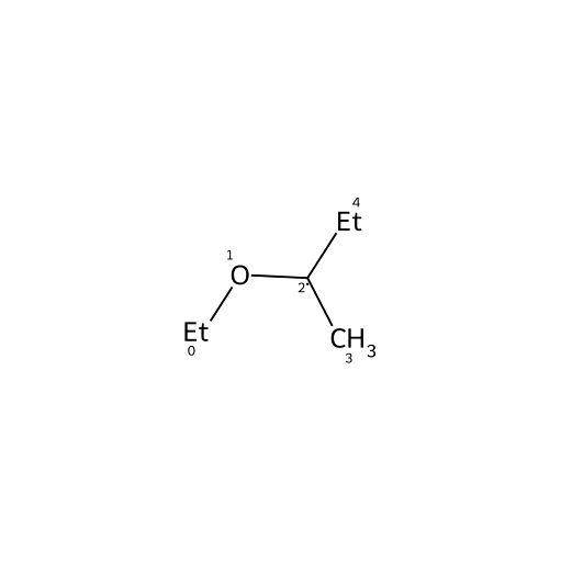 CCO[C](C)CC